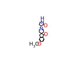 COc1ccc2c(c1)CC1(CCN([C@H]3CCNC3=O)CC1)C2=O